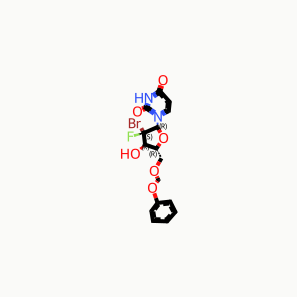 O=c1ccn([C@@H]2O[C@H](COCOc3ccccc3)[C@@H](O)[C@]2(F)Br)c(=O)[nH]1